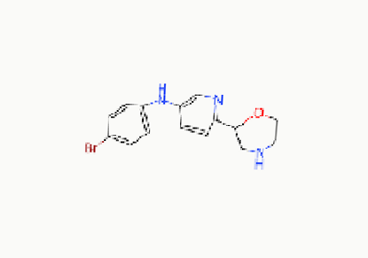 Brc1ccc(Nc2ccc(C3CNCCO3)nc2)cc1